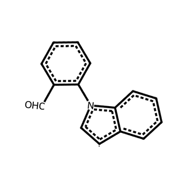 O=Cc1ccccc1-n1c[c]c2ccccc21